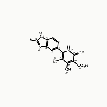 CCc1c(-c2ccc3[nH]c(C)nc3c2)[nH]c(=O)c(C(=O)O)c1O